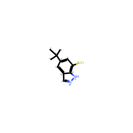 CC(C)(C)c1cc(S)c2[nH]ncc2c1